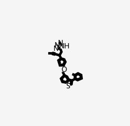 CC#CC(Cc1nnn[nH]1)c1ccc(OCc2ccc3scc(-c4ccccc4C)c3c2)cc1